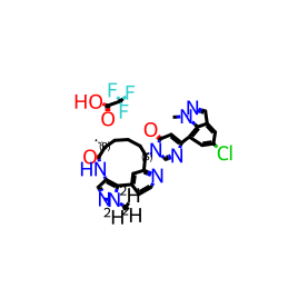 O=C(O)C(F)(F)F.[2H]C([2H])([2H])n1ncc2c1-c1ccnc(c1)[C@@H](n1cnc(-c3cc(Cl)cc4cnn(C)c34)cc1=O)CCC[C@@H](C)C(=O)N2